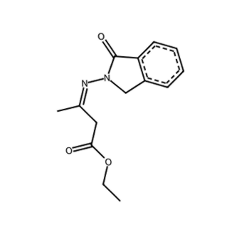 CCOC(=O)CC(C)=NN1Cc2ccccc2C1=O